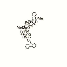 CC[C@H](C)[C@@H]([C@@H](CC(=O)[C@@]1([C@H](OC)[C@@H](C)C(=O)N[C@@H](Cc2ccccc2)C(=O)OC)CCCN1)OC)N(C)C(=O)[C@@H](NC(=O)OCC1c2ccccc2-c2ccccc21)C(C)C